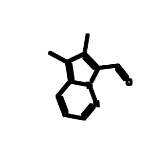 Cc1c(C)c2cccnn2c1C=O